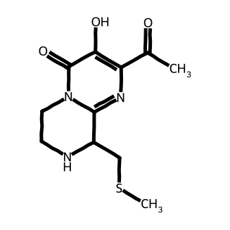 CSCC1NCCn2c1nc(C(C)=O)c(O)c2=O